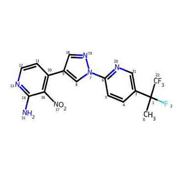 CC(F)(c1ccc(-n2cc(-c3ccnc(N)c3[N+](=O)[O-])cn2)nc1)C(F)(F)F